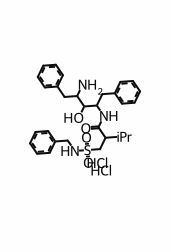 CC(C)C(CS(=O)(=O)NCc1ccccc1)C(=O)NC(Cc1ccccc1)C(O)C(N)Cc1ccccc1.Cl.Cl